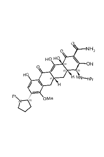 CCCN[C@@H]1C(O)=C(C(N)=O)C(=O)[C@@]2(O)C(O)=C3C(=O)c4c(O)cc([C@@H]5CCCN5CC)c(OC)c4C[C@H]3C[C@@H]12